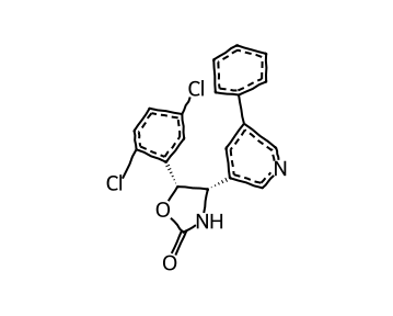 O=C1N[C@@H](c2cncc(-c3ccccc3)c2)[C@@H](c2cc(Cl)ccc2Cl)O1